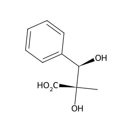 C[C@@](O)(C(=O)O)[C@H](O)c1ccccc1